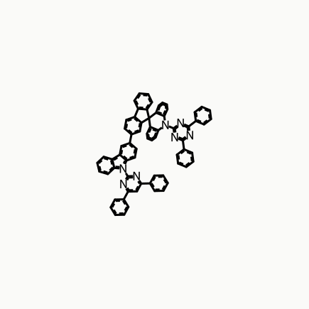 c1ccc(-c2cc(-c3ccccc3)nc(-n3c4ccccc4c4cc(-c5ccc6c(c5)C5(c7ccccc7-6)c6ccccc6N(c6nc(-c7ccccc7)nc(-c7ccccc7)n6)c6ccccc65)ccc43)n2)cc1